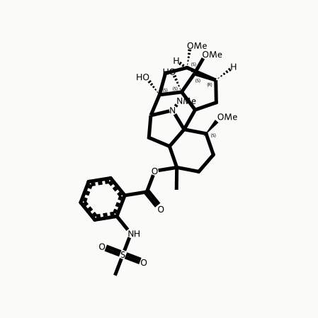 CNN1C2CC3C(C)(OC(=O)c4ccccc4NS(C)(=O)=O)CC[C@H](OC)C31C1C[C@@H]3[C@@H](OC)C[C@@]2(O)[C@@]1(O)[C@H]3OC